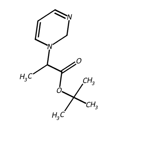 CC(C(=O)OC(C)(C)C)N1C=CC=NC1